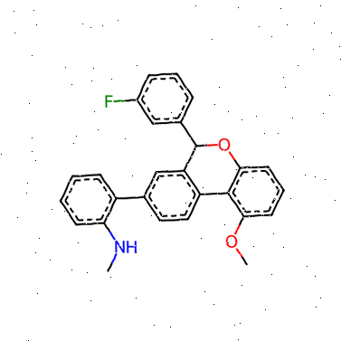 CNc1ccccc1-c1ccc2c(c1)C(c1cccc(F)c1)Oc1cccc(OC)c1-2